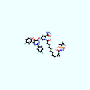 CC1(S(=O)(=O)NC(=O)[C@H]2C[C@H]2/C=C\CCCCCCC(=O)N2C[C@H](Oc3nc(-c4ccc(F)cc4)nc4c3oc3ccc(F)cc34)C[C@H]2C(N)=O)CC1